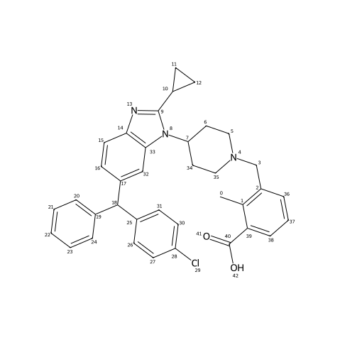 Cc1c(CN2CCC(n3c(C4CC4)nc4ccc(C(c5ccccc5)c5ccc(Cl)cc5)cc43)CC2)cccc1C(=O)O